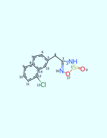 O=S1NC(Cc2ccc3cccc(Cl)c3c2)=NO1